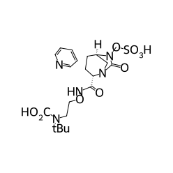 CC(C)(C)N(CCONC(=O)[C@@H]1CC[C@@H]2CN1C(=O)N2OS(=O)(=O)O)C(=O)O.c1ccncc1